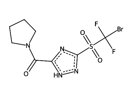 O=C(c1nc(S(=O)(=O)C(F)(F)Br)n[nH]1)N1CCCC1